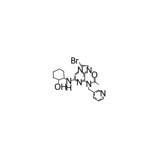 CC(=O)N(Cc1cccnc1)c1nc(NC2CCCCC2O)cn2c(Br)cnc12